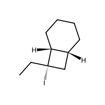 CC[C@]1(I)C[C@H]2CCCC[C@H]21